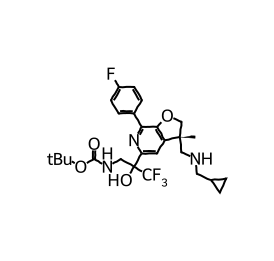 CC(C)(C)OC(=O)NCC(O)(c1cc2c(c(-c3ccc(F)cc3)n1)OC[C@]2(C)CNCC1CC1)C(F)(F)F